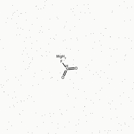 O=[SH](=O)F.[MgH2]